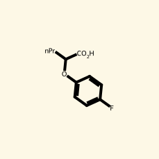 CCCC(Oc1ccc(F)cc1)C(=O)O